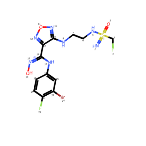 N=S(=O)(CF)NCCNc1nonc1/C(=N/O)Nc1ccc(F)c(Br)c1